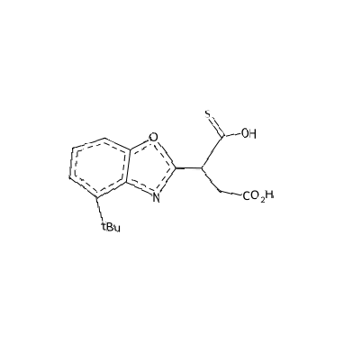 CC(C)(C)c1cccc2oc(C(CC(=O)O)C(O)=S)nc12